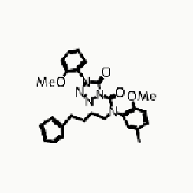 COc1ccc(C)cc1N(CCCCc1ccccc1)C(=O)n1nnn(-c2ccccc2OC)c1=O